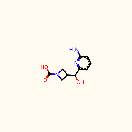 Nc1cccc(C(O)C2CN(C(=O)O)C2)n1